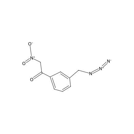 [N-]=[N+]=NCc1cccc(C(=O)C[N+](=O)[O-])c1